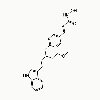 COCCN(CCc1c[nH]c2ccccc12)Cc1ccc(/C=C/C(=O)NO)cc1